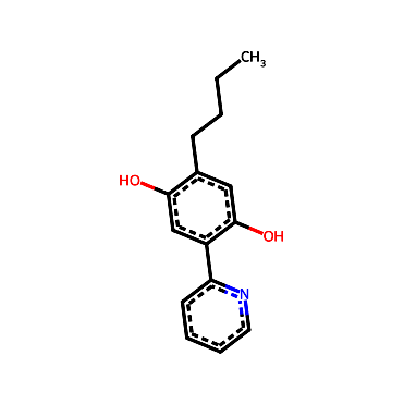 CCCCc1cc(O)c(-c2ccccn2)cc1O